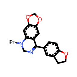 CC(C)N1CN=C(c2ccc3c(c2)CCO3)c2cc3c(cc21)OCO3